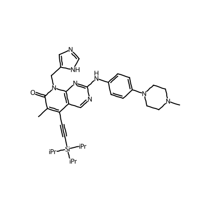 Cc1c(C#C[Si](C(C)C)(C(C)C)C(C)C)c2cnc(Nc3ccc(N4CCN(C)CC4)cc3)nc2n(Cc2cnc[nH]2)c1=O